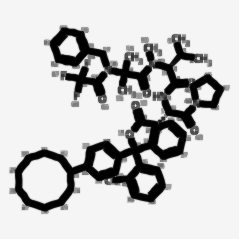 CC(C)[C@@H](C(=O)N[C@@H](CC(=O)OC(c1ccccc1)(c1ccc(C2CCCCCCCCC2)cc1)c1ccccc1Cl)C(=O)N1CCCC1)N(C)C(=O)C(C)(C)N(Cc1ccccc1)C(=O)C(F)(F)F